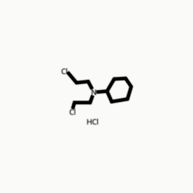 Cl.ClCCN(CCCl)C1CCCCC1